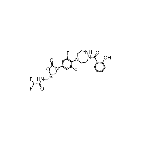 O=C(NC[C@H]1CN(c2cc(F)c(N3CCNN(C(=O)c4ccccc4O)CC3)c(F)c2)C(=O)O1)C(F)F